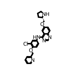 Clc1cc(Nc2ncnc3ccc(OC[C@@H]4CCCN4)cc23)ccc1OCc1ccccn1